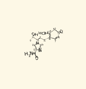 C[C@H](O)[C@@H](CCc1ccc(Cl)cc1O)n1cnc(C(N)=O)c1